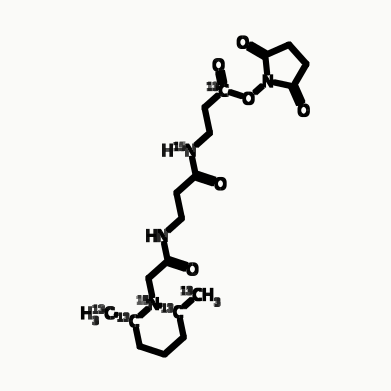 [13CH3][13CH]1CCC[13CH]([13CH3])[15N]1CC(=O)NCCC(=O)[15NH]CC[13C](=O)ON1C(=O)CCC1=O